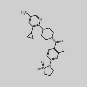 Cc1cnc(N2CCN(C(=O)c3ccc(N4CCCS4(=O)=O)cc3F)CC2)c(C2CC2)c1